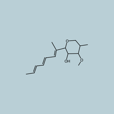 CC=CC=CC=C(C)C1OCC(C)C(OC)C1O